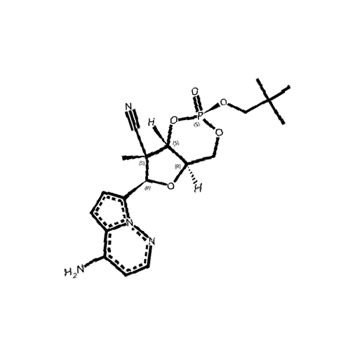 CC(C)(C)CO[P@@]1(=O)OC[C@H]2O[C@@H](c3ccc4c(N)ccnn34)[C@](C)(C#N)[C@@H]2O1